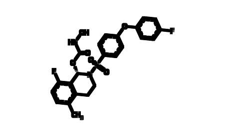 Cc1ccc(F)c2c1CCN(S(=O)(=O)c1ccc(Oc3ccc(F)cc3)cc1)[C@H]2OC(=O)NO